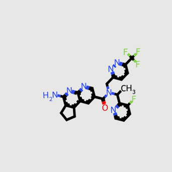 CC(c1ncccc1F)N(Cc1ccc(C(F)(F)F)nn1)C(=O)c1cnc2nc(N)c3c(c2c1)CCC3